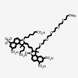 CC[N+]1=C(/C=C/C=C2/N(CCCCCC(=O)O)c3ccc4c(S(=O)(=O)[O-])cc(S(=O)(=O)O)cc4c3C2(C)CCCS(=O)(=O)O)C(C)(CCOCCOCCOCCOCCOCCOC)c2c1ccc1c(S(=O)(=O)O)cc(S(=O)(=O)O)cc21